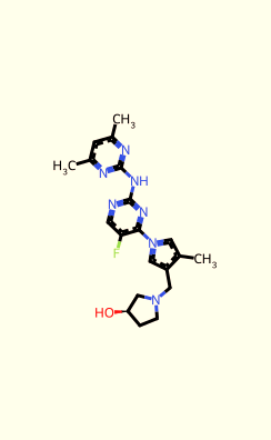 Cc1cc(C)nc(Nc2ncc(F)c(-n3cc(C)c(CN4CC[C@@H](O)C4)c3)n2)n1